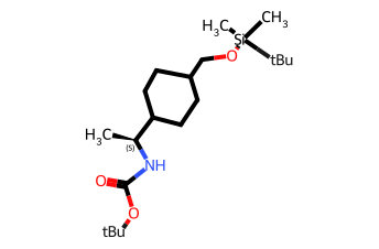 C[C@H](NC(=O)OC(C)(C)C)C1CCC(CO[Si](C)(C)C(C)(C)C)CC1